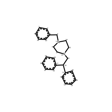 c1ccc(CN2CCN(CC(c3ccccc3)c3ccccc3)CC2)cc1